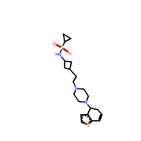 O=S(=O)(NC1CC(CCN2CCN(C3CC=Cc4sccc43)CC2)C1)C1CC1